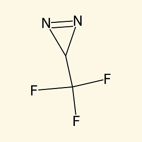 FC(F)(F)C1N=N1